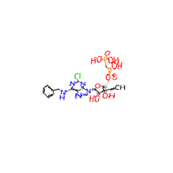 C#C[C@@]1(O)[C@@H](COP(=O)(O)CP(=O)(O)O)O[C@@H](n2cnc3c(NCc4ccccc4)nc(Cl)nc32)[C@@H]1O